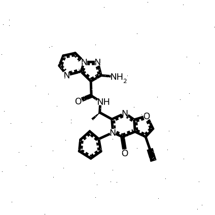 C#Cc1coc2nc([C@@H](C)NC(=O)c3c(N)nn4cccnc34)n(-c3ccccc3)c(=O)c12